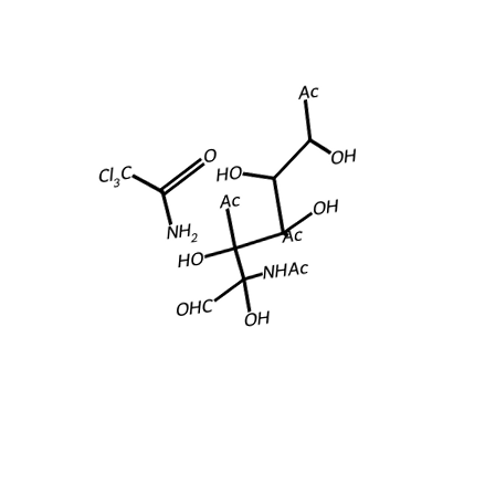 CC(=O)NC(O)(C=O)C(O)(C(C)=O)C(O)(C(C)=O)C(O)C(O)C(C)=O.NC(=O)C(Cl)(Cl)Cl